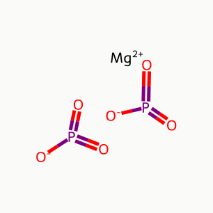 O=P(=O)[O-].O=P(=O)[O-].[Mg+2]